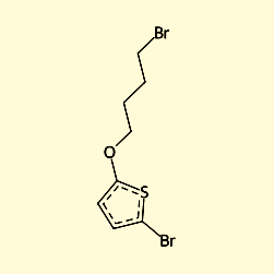 BrCCCCOc1ccc(Br)s1